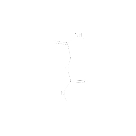 CNC(=O)OCC(N)=S